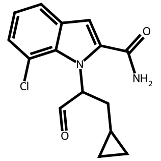 NC(=O)c1cc2cccc(Cl)c2n1C(C=O)CC1CC1